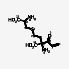 C=CC(=O)[C@](N)(CSSC[C@H](N)C(=O)O)C(=O)O